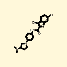 CN(C)C1CCN(c2ccc(NC(=O)c3sc4cc(Cl)ccc4c3Cl)cc2)C1